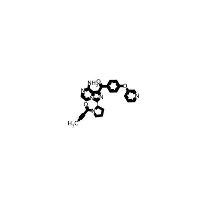 CC#CC(=O)N1CCC[C@H]1c1nc(C(=O)c2ccc(Oc3cccnc3)cc2)c2c(N)nccn12